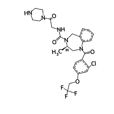 C[C@@H]1CN(C(=O)c2ccc(OCC(F)(F)F)cc2Cl)c2ccccc2CN1C(=O)NCC(=O)N1CCNCC1